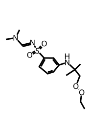 CCOOCC(C)(C)Nc1cccc(S(=O)(=O)/N=C/N(C)C)c1